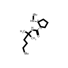 CC(C)(C)CCCC(C)(C)NC(=O)[C@H]1CCC[C@H]1NC(C)(C)C